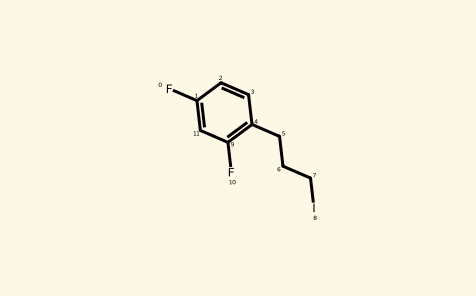 Fc1ccc(CCCI)c(F)c1